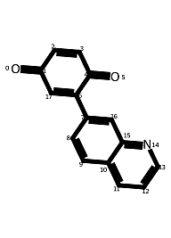 O=C1C=CC(=O)C(c2ccc3cccnc3c2)=C1